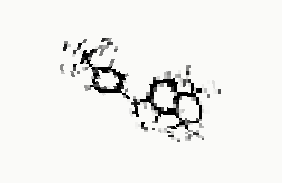 Cc1c(Nc2ccc(C(C)(C)C)cc2)ccc2c1C(C)(C)CCC2(C)C